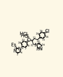 CCc1nccn1-c1ccc(OC(CCc2ccc(Cl)cc2)Cn2ccnc2)cc1.Cl.Cl